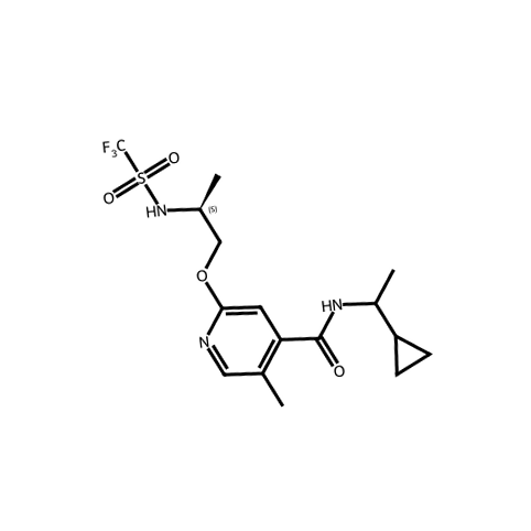 Cc1cnc(OC[C@H](C)NS(=O)(=O)C(F)(F)F)cc1C(=O)NC(C)C1CC1